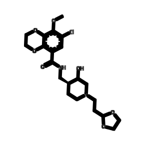 COc1c(Cl)cc(C(=O)NC[C@@H]2CCN(CCC3OCCO3)CC2O)c2c1OCCO2